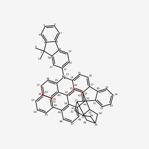 CC1(C)c2ccccc2-c2ccc(N(c3ccc4c(c3)C3(c5ccccc5-4)C4CC5CC(C4)C3C5)c3ccccc3-c3cccc4cccc(-c5ccccc5)c34)cc21